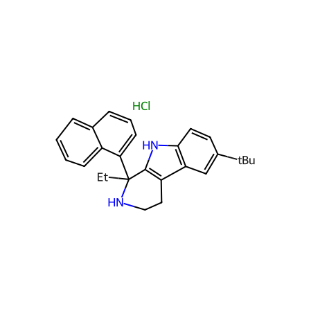 CCC1(c2cccc3ccccc23)NCCc2c1[nH]c1ccc(C(C)(C)C)cc21.Cl